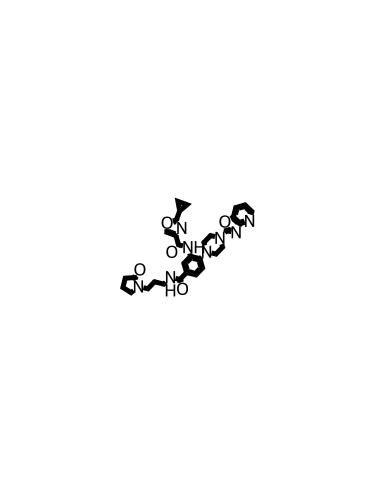 O=C(NCCCN1CCCC1=O)c1ccc(N2CCN(c3nc4ncccc4o3)CC2)c(NC(=O)c2coc(C3CC3)n2)c1